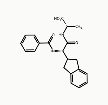 C[C@H](NC(=O)[C@H](NC(=O)c1ccccc1)C1Cc2ccccc2C1)C(=O)O